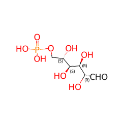 O=C[C@H](O)[C@H](O)[C@@H](O)[C@@H](O)COP(=O)(O)O